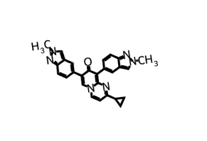 Cn1cc2cc(-c3cn4ccc(C5CC5)nc4c(-c4ccc5nn(C)cc5c4)c3=O)ccc2n1